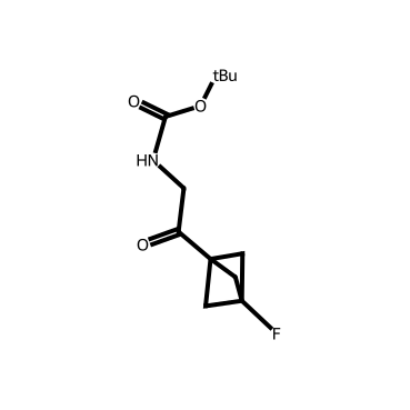 CC(C)(C)OC(=O)NCC(=O)C12CC(F)(C1)C2